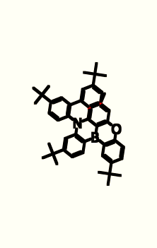 Cc1cc2c3c(c1)N(c1ccc(C(C)(C)C)cc1-c1cccc(C(C)(C)C)c1)c1cc(C(C)(C)C)ccc1B3c1cc(C(C)(C)C)ccc1O2